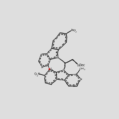 CCCCCCCCCCCC(n1c2cc([N+](=O)[O-])ccc2c2ccnc(C)c21)n1c2cc([N+](=O)[O-])ccc2c2ccnc(C)c21